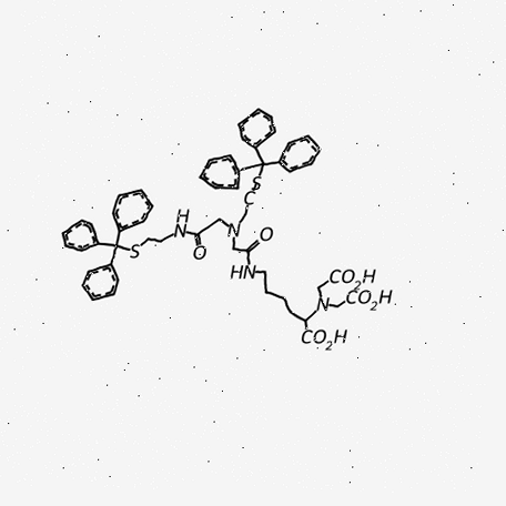 O=C(O)CN(CC(=O)O)C(CCCCNC(=O)CN(CCSC(c1ccccc1)(c1ccccc1)c1ccccc1)CC(=O)NCCSC(c1ccccc1)(c1ccccc1)c1ccccc1)C(=O)O